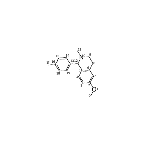 COc1ccc2c(c1)CCN(C)C2c1ccc(C)cc1